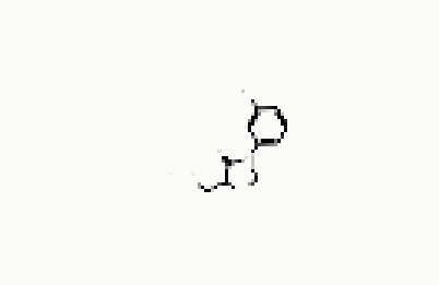 Cc1cccc(N2COC(CC(=O)O)C2=O)c1